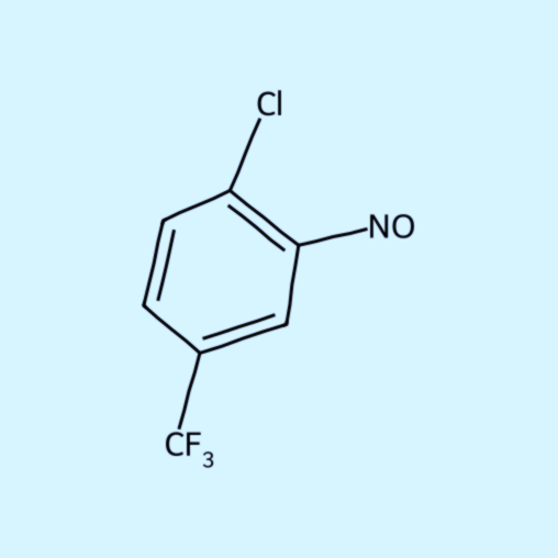 O=Nc1cc(C(F)(F)F)ccc1Cl